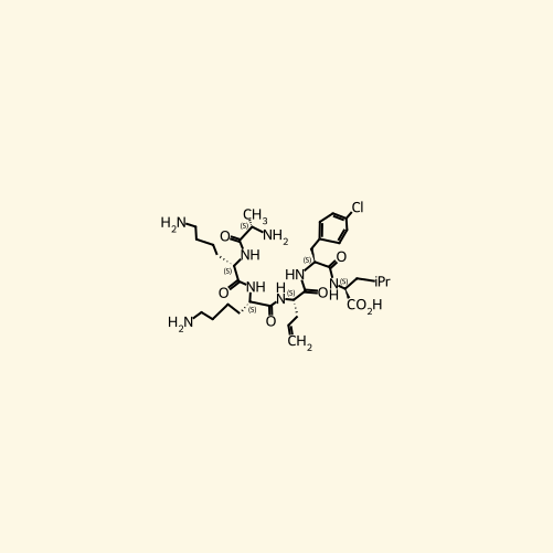 C=CC[C@H](NC(=O)[C@H](CCCCN)NC(=O)[C@H](CCCCN)NC(=O)[C@H](C)N)C(=O)N[C@@H](Cc1ccc(Cl)cc1)C(=O)N[C@@H](CC(C)C)C(=O)O